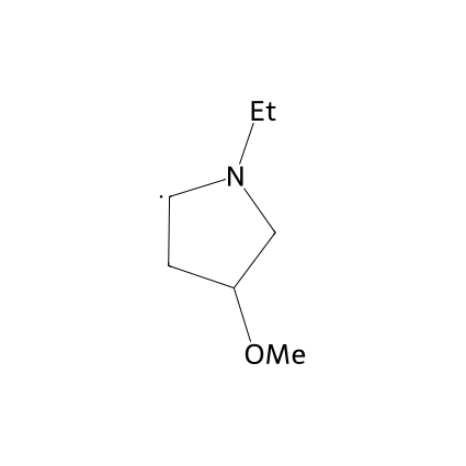 CCN1[CH]CC(OC)C1